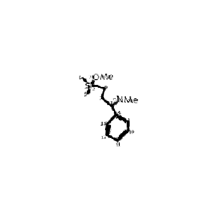 CNC(CC[Si](C)(C)OC)c1ccccc1